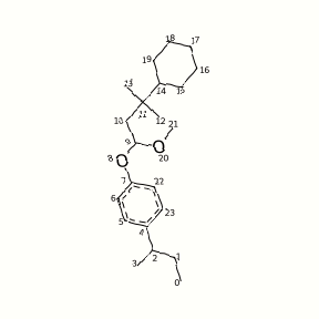 CCC(C)c1ccc(OC(CC(C)(C)C2CCCCC2)OC)cc1